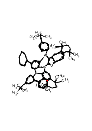 CC(C)(C)c1ccc(N2c3cc(C4CCCCC4)cc4c3B(c3cc5c(cc3N4c3ccc(C(C)(C)C)cc3-c3ccccc3)C(C)(C)CCC5(C)C)c3oc4cc5c(cc4c32)C(C)(C)CCC5(C)C)cc1